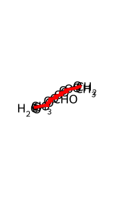 C=C(C)C(=O)OCCCCCCOc1ccc(OC(=O)C2CCC(COc3ccc(OCC4CCC(C(=O)Oc5ccc(OCCCCCCOC(=O)C(=C)C)cc5)CC4)c(C=O)c3)CC2)cc1